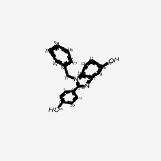 Oc1ccc(-c2nc3cc(O)ccc3n2Cc2ccccc2)cc1